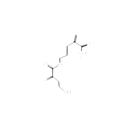 C=C(CCCOC(=O)C(=C)CCO)C(=O)O